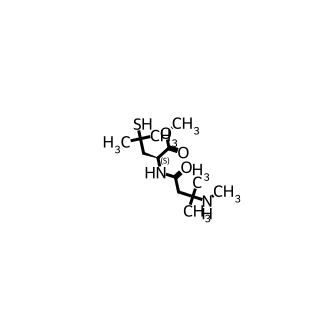 CNC(C)(C)CC(=O)N[C@@H](CC(C)(C)S)C(=O)OC